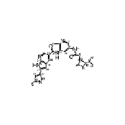 Cc1ncc(NC(=O)CN2CCC2C(C)C)cc1NC(=O)c1cnc2[nH]c(-c3cnn(C)c3)cc2c1